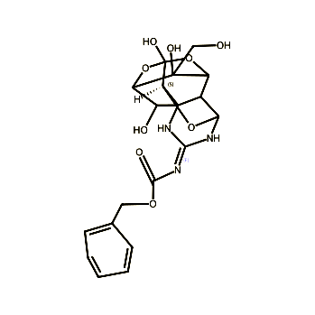 O=C(/N=C1/NC2O[C@@H]3C4(O)OC5C(O)C3(N1)C2C(O4)C5(O)CO)OCc1ccccc1